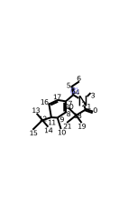 C=C(N(C)/C(=C\C)C1=CC(C)C(C(C)(C)C)C=C1)C(C)(C)C